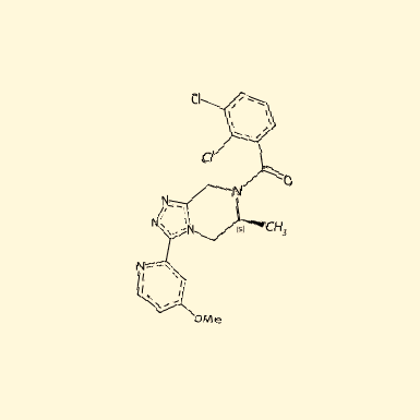 COc1ccnc(-c2nnc3n2C[C@H](C)N(C(=O)c2cccc(Cl)c2Cl)C3)c1